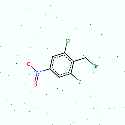 O=[N+]([O-])c1cc(Cl)c(CBr)c(Cl)c1